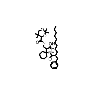 CCCCCCCCCC(Cc1ccccc1)C(=O)NC1(C(CNC(=O)C2OC(C)(C)OCC2(C)C)C(=O)O)CCCCC1